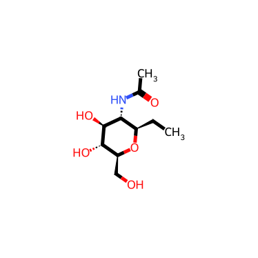 CC[C@H]1O[C@@H](CO)[C@H](O)[C@@H](O)[C@@H]1NC(C)=O